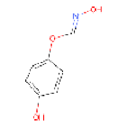 ON=COc1ccc(O)cc1